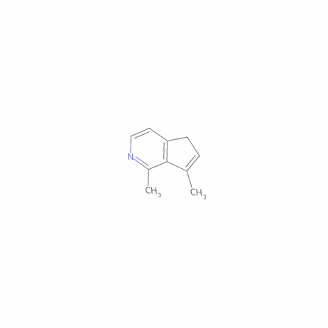 CC1=CCc2ccnc(C)c21